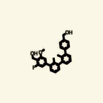 COc1cc(-c2cccc(-c3cccc(-c4ccc(CO)cc4)c3C)c2C)cc(F)c1CO